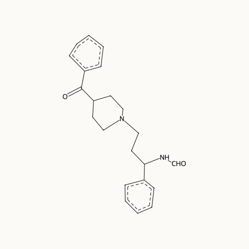 O=CNC(CCN1CCC(C(=O)c2ccccc2)CC1)c1ccccc1